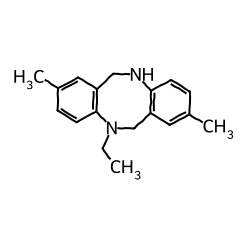 CCN1Cc2cc(C)ccc2NCc2cc(C)ccc21